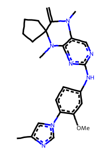 C=C1N(C)c2cnc(Nc3ccc(-n4cnc(C)c4)c(OC)c3)nc2N(C)C12CCCC2